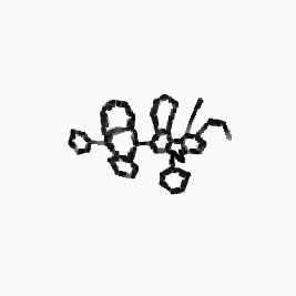 C=Cc1c(/C=C\C)ccc2c1c1c3ccccc3c(-c3c4ccccc4c(-c4ccccc4)c4ccccc34)cc1n2-c1ccccc1